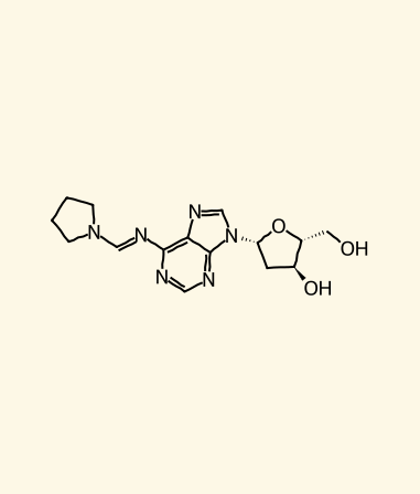 OC[C@H]1O[C@@H](n2cnc3c(N=CN4CCCC4)ncnc32)C[C@@H]1O